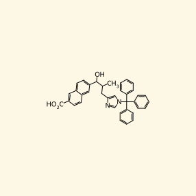 CC(Cc1cn(C(c2ccccc2)(c2ccccc2)c2ccccc2)cn1)C(O)c1ccc2cc(C(=O)O)ccc2c1